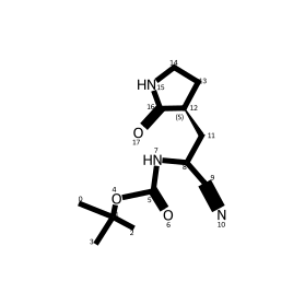 CC(C)(C)OC(=O)NC(C#N)C[C@@H]1CCNC1=O